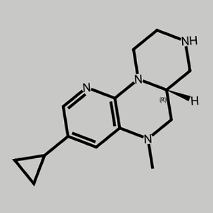 CN1C[C@H]2CNCCN2c2ncc(C3CC3)cc21